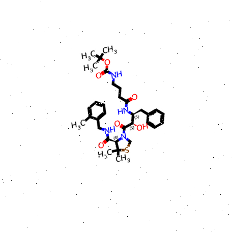 Cc1ccccc1CNC(=O)[C@H]1N(C(=O)[C@@H](O)[C@H](Cc2ccccc2)NC(=O)CCCNC(=O)OC(C)(C)C)CSC1(C)C